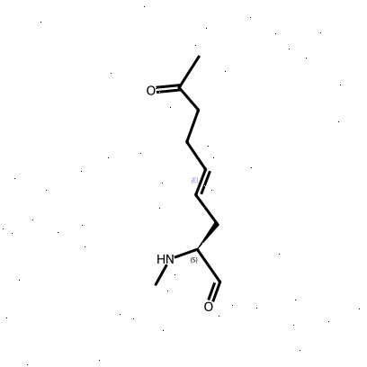 CN[C@H](C=O)C/C=C/CCC(C)=O